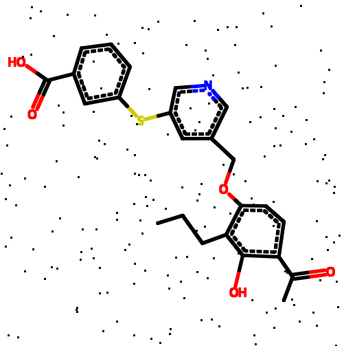 CCCc1c(OCc2cncc(Sc3cccc(C(=O)O)c3)c2)ccc(C(C)=O)c1O